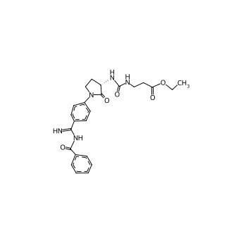 CCOC(=O)CCNC(=O)N[C@H]1CCN(c2ccc(C(=N)NC(=O)c3ccccc3)cc2)C1=O